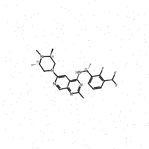 Cc1nc(N[C@H](C)c2cccc(C(F)F)c2F)c2cc(N3C[C@H](C)N(C)[C@@H](C)C3)ncc2n1